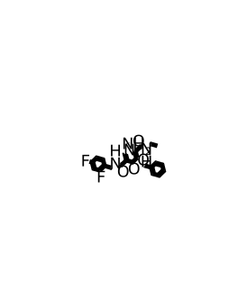 CCNC(=O)c1c(OCc2ccccc2)c(=O)c(C(=O)NCc2ccc(F)cc2F)cn1N